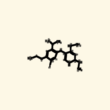 CCOc1cc(C(C)C)c(OC2=CNC(NN)N=C2NN)cc1I